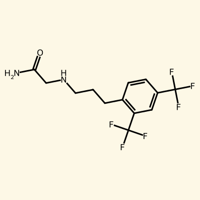 NC(=O)CNCCCc1ccc(C(F)(F)F)cc1C(F)(F)F